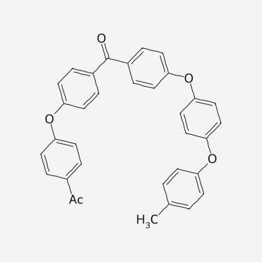 CC(=O)c1ccc(Oc2ccc(C(=O)c3ccc(Oc4ccc(Oc5ccc(C)cc5)cc4)cc3)cc2)cc1